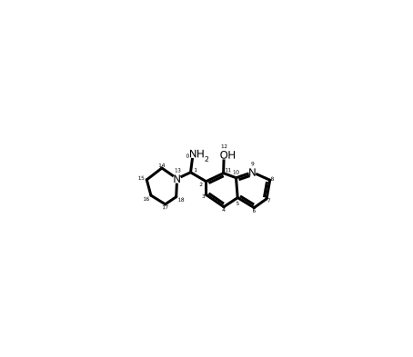 NC(c1ccc2cccnc2c1O)N1CCCCC1